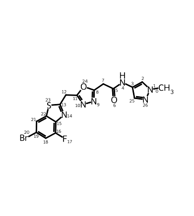 Cn1cc(NC(=O)Cc2nnc(Cc3nc4c(F)cc(Br)cc4s3)o2)cn1